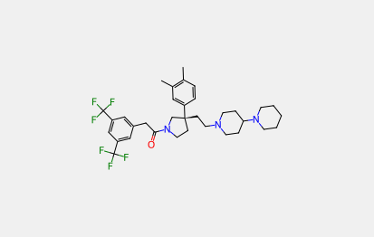 Cc1ccc([C@]2(CCN3CCC(N4CCCCC4)CC3)CCN(C(=O)Cc3cc(C(F)(F)F)cc(C(F)(F)F)c3)C2)cc1C